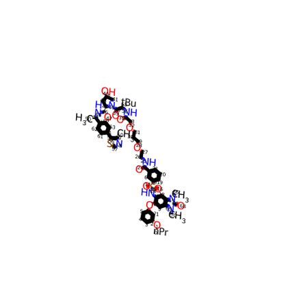 CCCOc1cccc(Oc2cc3c(cc2NS(=O)(=O)c2cccc(C(=O)NCCOCCCOCC(=O)N[C@H](C(=O)N4C[C@H](O)C[C@H]4C(=O)N[C@@H](C)c4ccc(-c5scnc5C)cc4)C(C)(C)C)c2)n(C)c(=O)n3C)c1